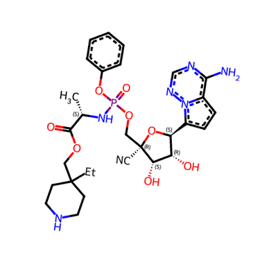 CCC1(COC(=O)[C@H](C)NP(=O)(OC[C@@]2(C#N)O[C@@H](c3ccc4c(N)ncnn34)[C@H](O)[C@@H]2O)Oc2ccccc2)CCNCC1